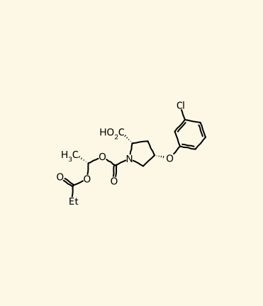 CCC(=O)O[C@H](C)OC(=O)N1C[C@@H](Oc2cccc(Cl)c2)C[C@H]1C(=O)O